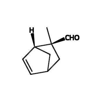 C[C@]1(C=O)CC2C=C[C@H]1C2